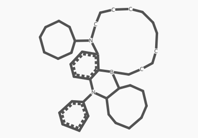 c1ccc(N2c3cccc4c3B(CCCCCCCCCCCN4C3CCCCCCC3)C3CCCCCCCC32)cc1